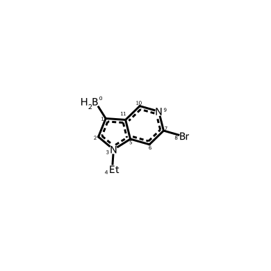 Bc1cn(CC)c2cc(Br)ncc12